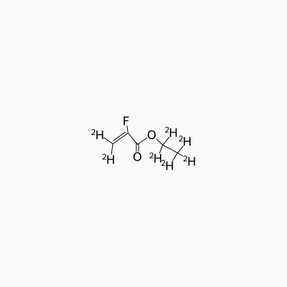 [2H]C([2H])=C(F)C(=O)OC([2H])([2H])C([2H])([2H])[2H]